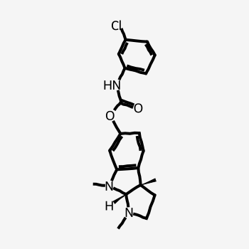 CN1CC[C@@]2(C)c3ccc(OC(=O)Nc4cccc(Cl)c4)cc3N(C)[C@@H]12